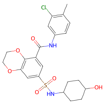 Cc1ccc(NC(=O)c2cc(S(=O)(=O)NC3CCC(O)CC3)cc3c2OCCO3)cc1Cl